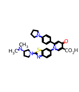 CN(C)[C@@H]1CCN(c2nc3ccc(-n4cc(C(=O)O)c(=O)cc4-c4ccc(N5CCCC5)cc4)cc3s2)C1